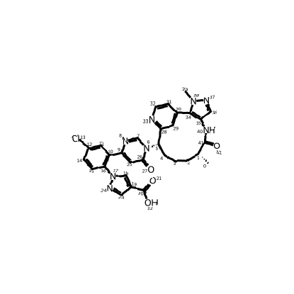 C[C@@H]1CCC[C@H](n2cnc(-c3cc(Cl)ccc3-n3cc(C(=O)O)cn3)cc2=O)c2cc(ccn2)-c2c(cnn2C)NC1=O